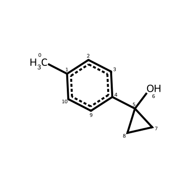 Cc1ccc(C2(O)CC2)cc1